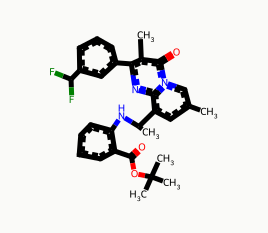 Cc1cc(C(C)Nc2ccccc2C(=O)OC(C)(C)C)c2nc(-c3cccc(C(F)F)c3)c(C)c(=O)n2c1